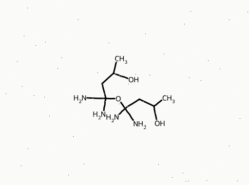 CC(O)CC(N)(N)OC(N)(N)CC(C)O